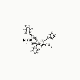 Cc1cc2c(cc1C#Cc1ccccc1)c1cc(C#Cc3ccccc3)c(C)cc1p2-c1ccccc1